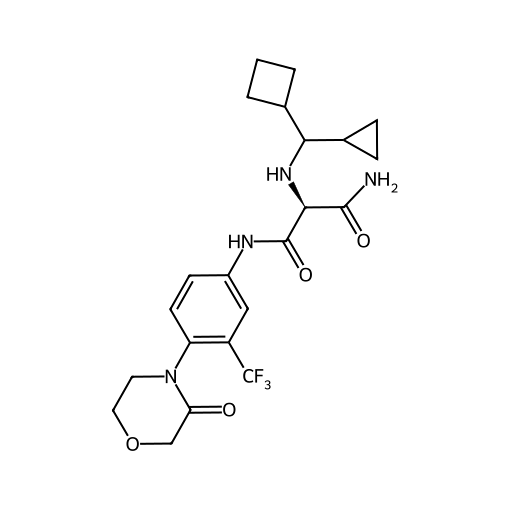 NC(=O)[C@H](NC(C1CCC1)C1CC1)C(=O)Nc1ccc(N2CCOCC2=O)c(C(F)(F)F)c1